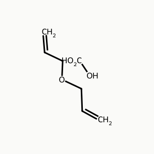 C=CCOCC=C.O=C(O)O